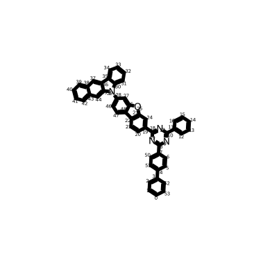 c1ccc(-c2ccc(-c3nc(-c4ccccc4)nc(-c4ccc5c(c4)oc4cc(-n6c7ccccc7c7cc8ccccc8cc76)ccc45)n3)cc2)cc1